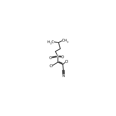 CC(C)CCS(=O)(=O)C(Cl)=C(Cl)C#N